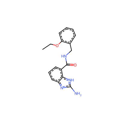 CCOc1ccccc1CNC(=O)c1cccc2nc(N)[nH]c12